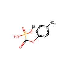 CCOP(=O)(O)C(=O)Oc1ccc([N+](=O)[O-])cc1